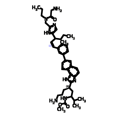 CCCC(/C=C\c1cc(-c2ccc3c(ccc4nc([C@H](CCCN)CC(NC(=O)OC)C(C)C)[nH]c43)c2)ccc1C)c1cnc(CN(CCC)C(=O)CN)[nH]1